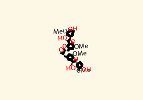 COc1cc([C@H]2Oc3c(OC)cc(C[C@H]4COC(=O)[C@@H]4Cc4cc(OC)c5c(c4)[C@H](CO)[C@@H](c4ccc(O)c(OC)c4)O5)cc3[C@@H]2CO)ccc1O